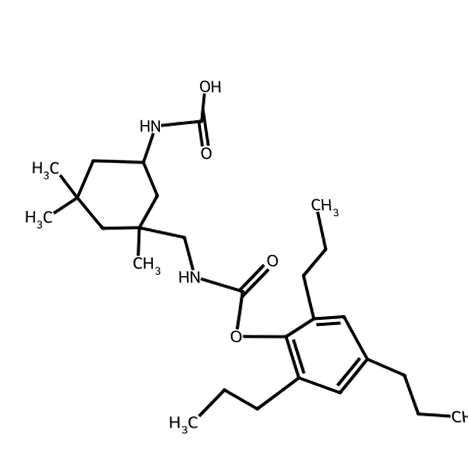 CCCc1cc(CCC)c(OC(=O)NCC2(C)CC(NC(=O)O)CC(C)(C)C2)c(CCC)c1